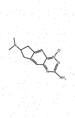 CN(C)C1Cc2cc3nc(N)n[n+]([O-])c3cc2C1